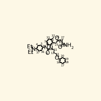 CCN(CC)c1ccc(-n2c(=O)n(CCCOc3ccccc3)c3c(CC(=O)N(C)C(N)=O)c(C)ccc32)cc1